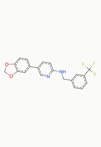 FC(F)(F)c1cccc(CNc2ccc(-c3ccc4c(c3)OCO4)cn2)c1